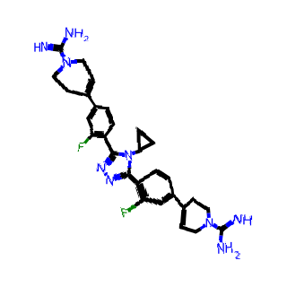 N=C(N)N1CC=C(c2ccc(-c3nnc(-c4ccc(C5=CCN(C(=N)N)CC5)cc4F)n3C3CC3)c(F)c2)CC1